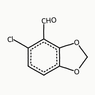 O=Cc1c(Cl)ccc2c1OCO2